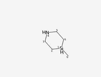 C[SiH]1CCNCC1